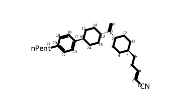 C=C([C@H]1CC[C@H](CC/C=C/C#N)CC1)[C@H]1CC[C@H](c2ccc(CCCCC)cc2)CC1